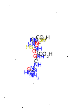 Nc1nc2ncc(CNc3ccc(C(=O)N[C@@H](CCC(=O)N[C@@H](CS)C(=O)N[C@@H](CC(=O)O)C(=O)N[C@@H](CS)C(=O)O)C(=O)O)cc3)nc2c(=O)[nH]1